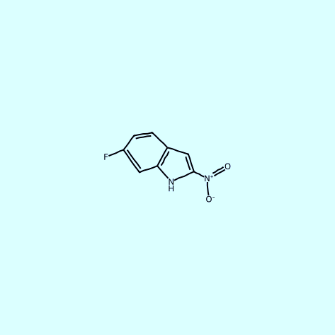 O=[N+]([O-])c1cc2ccc(F)cc2[nH]1